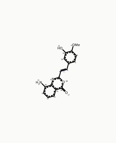 COc1ccc(/C=C/c2nc3c(N)cccc3c(=O)o2)cc1O